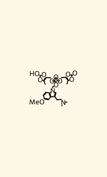 COc1ccc2c(c1)c(CCN(C)C)cn2COP(=O)(OCC1=C(C)OC(O)O1)OCc1oc(=O)oc1C